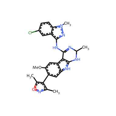 COc1cc2c3c([nH]c2cc1-c1c(C)noc1C)NC(C)N=C3Nc1nn(C)c2ccc(Cl)cc12